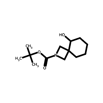 CC(C)(C)OC(=O)N1CC2(CCCCC2O)C1